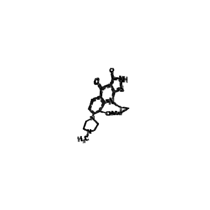 COc1c(N2CCN(C)CC2)ccc2c(=O)c3c(=O)[nH]sc3n(C3CC3)c12